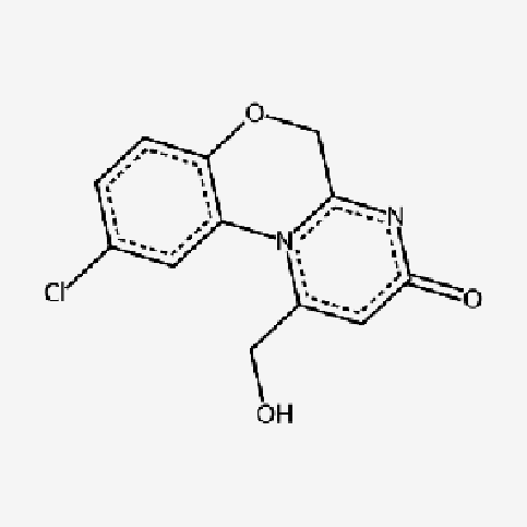 O=c1cc(CO)n2c(n1)COc1ccc(Cl)cc1-2